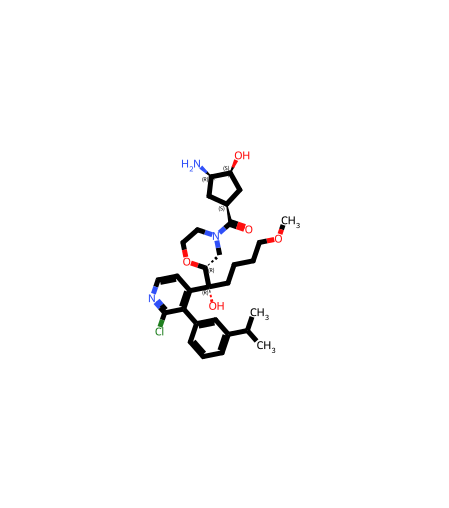 COCCCC[C@@](O)(c1ccnc(Cl)c1-c1cccc(C(C)C)c1)[C@H]1CN(C(=O)[C@H]2C[C@@H](N)[C@@H](O)C2)CCO1